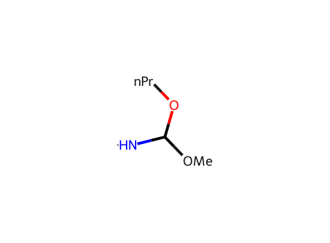 CCCOC([NH])OC